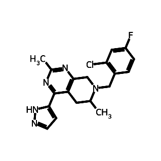 Cc1nc2c(c(-c3ccn[nH]3)n1)CC(C)N(Cc1ccc(F)cc1Cl)C2